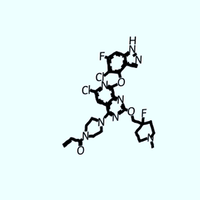 C=CC(=O)N1CCN(c2nc(OCC3(F)CCN(C)CC3)nc3c(Oc4c(Cl)c(F)cc5[nH]ncc45)nc(Cl)cc23)CC1